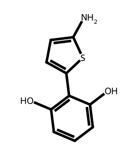 Nc1ccc(-c2c(O)cccc2O)s1